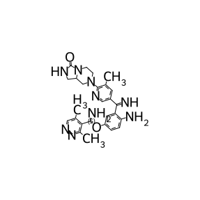 Cc1cc(C(=N)c2cc(O[C@H](N)c3c(C)cnnc3C)ccc2N)cnc1N1CCN2C(=O)NCC2C1